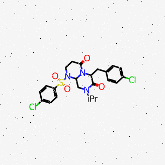 CC(C)N1CC2N(C(=O)CCN2S(=O)(=O)c2ccc(Cl)cc2)C(Cc2ccc(Cl)cc2)C1=O